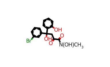 CN(O)C(=O)C(=O)CC(O)(c1cccc(Br)c1)c1ccccc1O